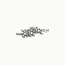 [2H]c1c([2H])c(S(=O)(=O)c2c([2H])c([2H])c(NC(=O)c3cc(C(C)=O)c(C(=O)O)cc3C(=O)O)c([2H])c2[2H])c([2H])c([2H])c1NC